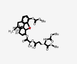 C[C@H](OC(=O)CC[C@H](NC(=O)OC(C)(C)C)C(=O)OC(C)(C)C)C(=O)OC1=CC[C@@]2(O)[C@H]3Cc4ccc(OC(=O)OC(C)(C)C)c5c4[C@@]2(CCN3C)[C@H]1O5